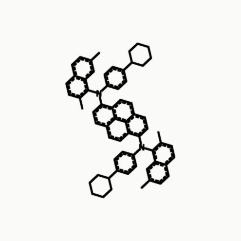 Cc1ccc2ccc(C)c(N(c3ccc(C4CCCCC4)cc3)c3ccc4ccc5c(N(c6ccc(C7CCCCC7)cc6)c6c(C)ccc7ccc(C)cc67)ccc6ccc3c4c65)c2c1